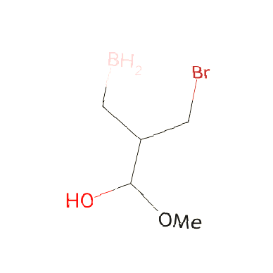 BCC(CBr)C(O)OC